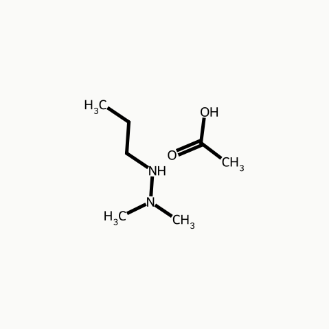 CC(=O)O.CCCNN(C)C